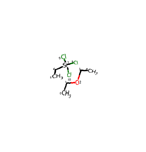 CCOCC.CC[Si](Cl)(Cl)Cl